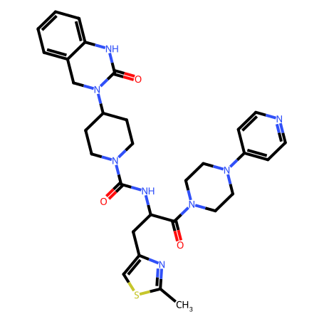 Cc1nc(CC(NC(=O)N2CCC(N3Cc4ccccc4NC3=O)CC2)C(=O)N2CCN(c3ccncc3)CC2)cs1